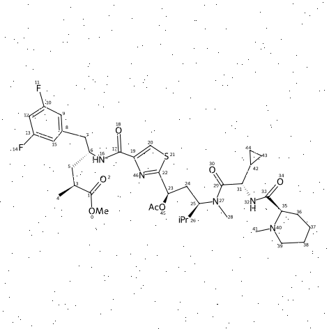 COC(=O)[C@@H](C)C[C@H](Cc1cc(F)cc(F)c1)NC(=O)c1csc([C@@H](C[C@H](C(C)C)N(C)C(=O)[C@@H](NC(=O)[C@H]2CCCCN2C)C2CC2)OC(C)=O)n1